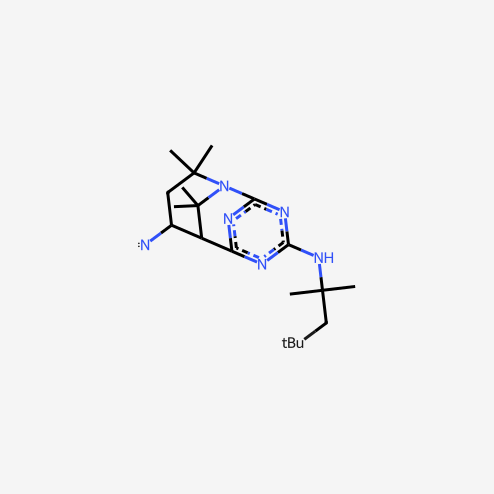 CC(C)(C)CC(C)(C)Nc1nc2nc(n1)N1C(C)(C)CC([N])C2C1(C)C